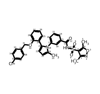 Cc1noc(C)c1S(=O)(=O)NC(=O)c1cccc(-n2c(C)ccc2-c2ccccc2OCc2ccc(Cl)cc2)c1